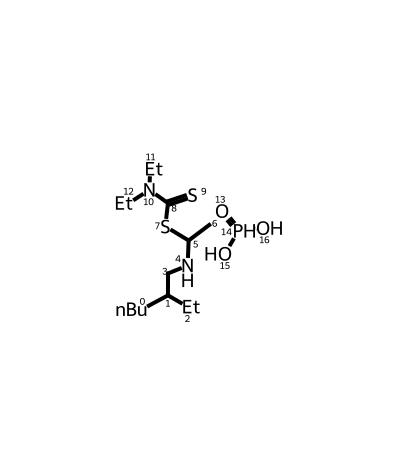 CCCCC(CC)CNC(C)SC(=S)N(CC)CC.O=[PH](O)O